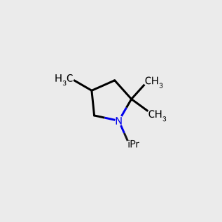 CC1CN(C(C)C)C(C)(C)C1